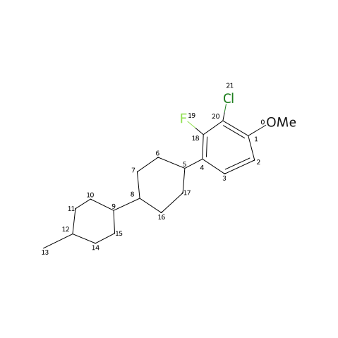 COc1ccc(C2CCC(C3CCC(C)CC3)CC2)c(F)c1Cl